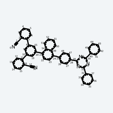 N#Cc1ccccc1-c1cc(-c2ccccc2C#N)cc(-c2ccc(-c3ccc(-c4nc(-c5ccccc5)nc(-c5ccccc5)n4)cc3)c3ccccc23)c1